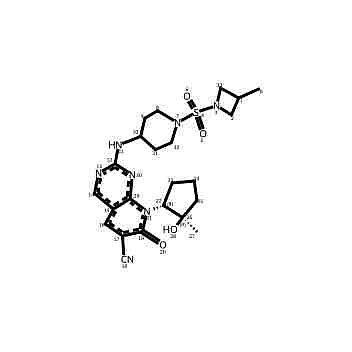 CC1CN(S(=O)(=O)N2CCC(Nc3ncc4cc(C#N)c(=O)n([C@@H]5CCC[C@@]5(C)O)c4n3)CC2)C1